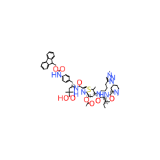 CC[C@H](C)[C@H](NC(=O)[C@H]1CCCCN1C)C(=O)N(CCCCc1cn(C)nn1)[C@H](C[C@@H](OC(C)=O)c1nc(C(=O)N[C@@H](Cc2ccc(NC(=O)OCC3c4ccccc4-c4ccccc43)cc2)CC(C)(C)C(=O)O)cs1)C(C)C